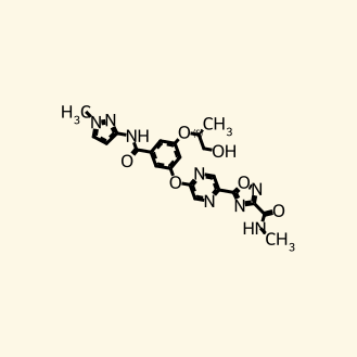 CNC(=O)c1noc(-c2cnc(Oc3cc(O[C@@H](C)CO)cc(C(=O)Nc4ccn(C)n4)c3)cn2)n1